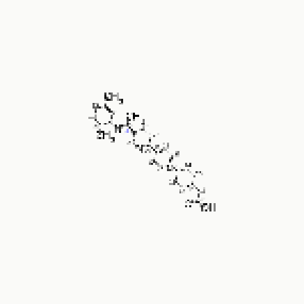 CC1=CC(/N=C(\C)C2=CN=C(c3ccc(C4CCC(CC(=O)O)CC4)cc3)CC2)C(C)C=C1